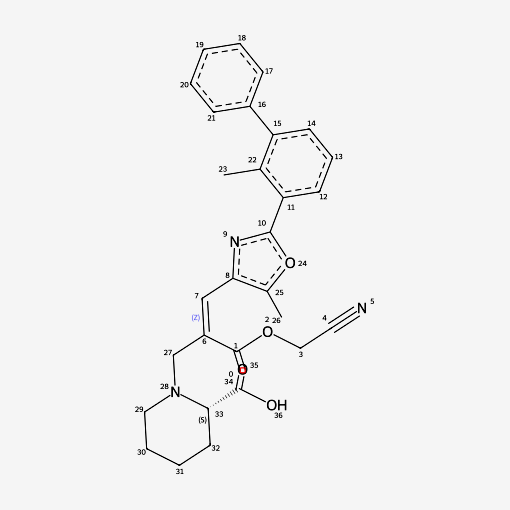 C=C(OCC#N)/C(=C\c1nc(-c2cccc(-c3ccccc3)c2C)oc1C)CN1CCCC[C@H]1C(=O)O